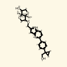 OCC1(c2ccc(-c3ccc4[nH]c(COC5CO[C@@H]6C(O)CO[C@H]56)cc4n3)cc2)CC1